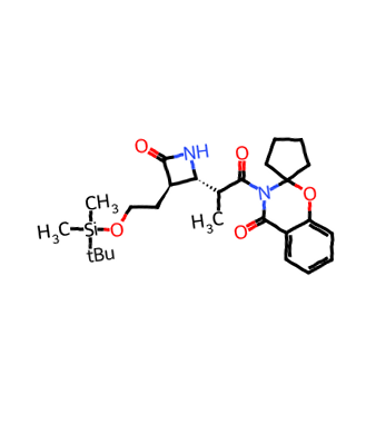 CC(C(=O)N1C(=O)c2ccccc2OC12CCCC2)[C@H]1NC(=O)[C@@H]1CCO[Si](C)(C)C(C)(C)C